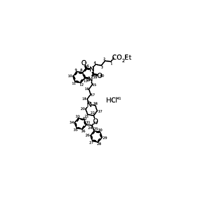 CCOC(=O)CCCCn1c(=O)c2ccccc2n(CCCCN2CCC(OC(c3ccccc3)c3ccccc3)CC2)c1=O.Cl